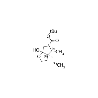 C=CC[C@]12CCOC1(O)CN(C(=O)OC(C)(C)C)[C@@H]2C